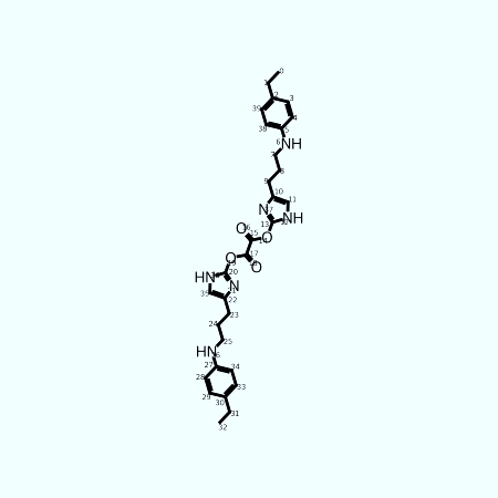 CCc1ccc(NCCCc2c[nH]c(OC(=O)C(=O)Oc3nc(CCCNc4ccc(CC)cc4)c[nH]3)n2)cc1